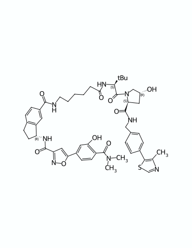 Cc1ncsc1-c1ccc(CNC(=O)[C@@H]2C[C@@H](O)CN2C(=O)[C@@H](NC(=O)CCCCCNC(=O)c2ccc3c(c2)[C@H](NC(=O)c2cc(-c4ccc(C(=O)N(C)C)c(O)c4)on2)CC3)C(C)(C)C)cc1